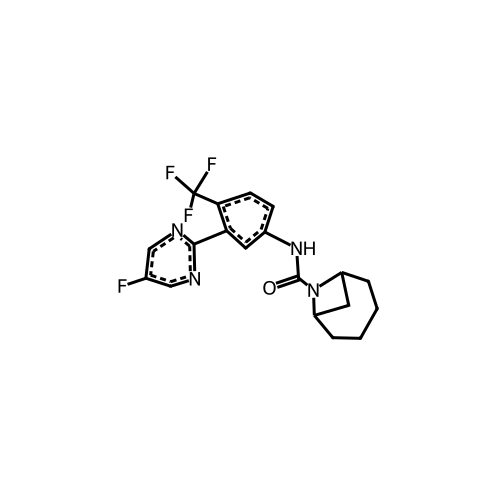 O=C(Nc1ccc(C(F)(F)F)c(-c2ncc(F)cn2)c1)N1C2CCCCC1C2